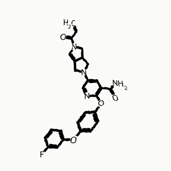 C=CC(=O)N1C=C2CN(c3cnc(Oc4ccc(Oc5cccc(F)c5)cc4)c(C(N)=O)c3)CC2C1